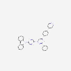 c1ccc(-c2nc(-c3ccc(-c4ccncc4)cc3)cc(-c3cnc(-n4c5ccccc5c5ccccc54)cn3)n2)cc1